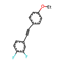 CCOc1ccc(C#Cc2ccc(F)c(F)c2)cc1